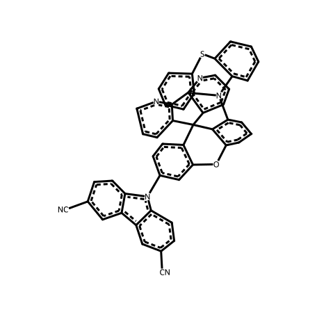 N#Cc1ccc2c(c1)c1cc(C#N)ccc1n2-c1ccc2c(c1)Oc1cccc(N3c4ccccc4Sc4ccccc43)c1C21c2cccnc2-c2ncccc21